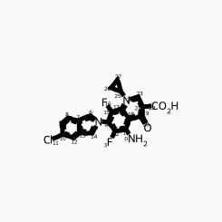 Nc1c(F)c(-n2cc3ccc(Cl)cc3c2)c(F)c2c1c(=O)c(C(=O)O)cn2C1CC1